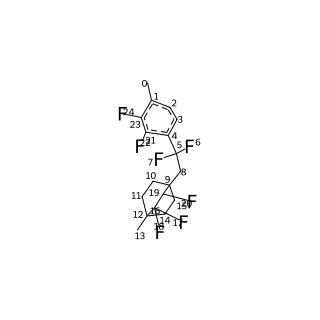 Cc1ccc(C(F)(F)CC23CCC(C)(CC2)C(F)(F)C3F)c(F)c1F